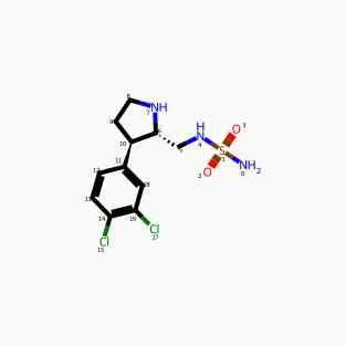 NS(=O)(=O)NC[C@H]1NCC[C@@H]1c1ccc(Cl)c(Cl)c1